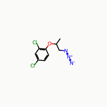 CC(CN=[N+]=[N-])Oc1ccc(Cl)cc1Cl